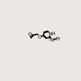 CC(C)/N=c1/cc(OCC2CO2)cc[nH]1